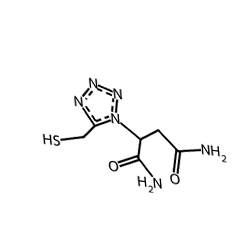 NC(=O)CC(C(N)=O)n1nnnc1CS